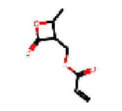 C=CC(=O)OCC1C(=O)OC1C